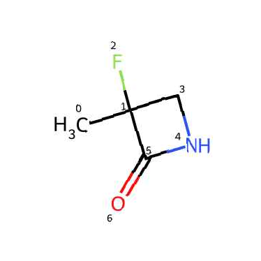 CC1(F)CNC1=O